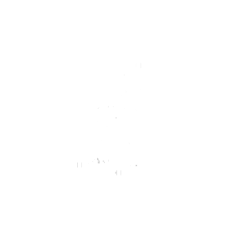 O=C(O)c1ccc2c(c1)C1(OC2=O)c2cc(C(=O)O)c(O)c(Cl)c2Oc2c1cc(C(=O)O)c(O)c2Cl